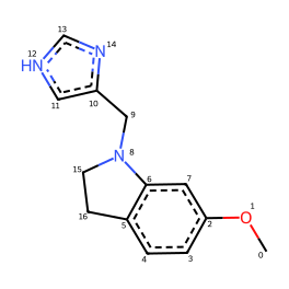 COc1ccc2c(c1)N(Cc1c[nH]cn1)CC2